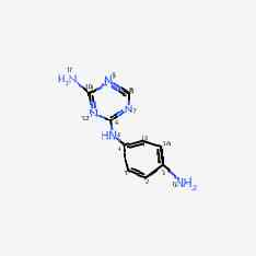 Nc1ccc(Nc2ncnc(N)n2)cc1